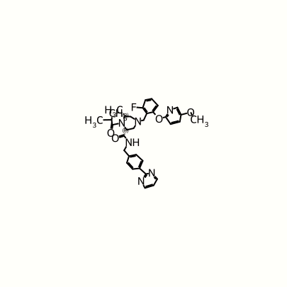 COc1ccc(Oc2cccc(F)c2CN2C[C@@H](C)N(C(=O)C(C)C)[C@@H](C(=O)NCc3ccc(-c4ncccn4)cc3)C2)nc1